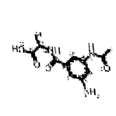 CC(=O)Nc1cc(N)cc(C(=O)NC(C)C(=O)O)c1